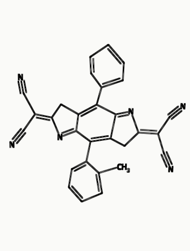 Cc1ccccc1-c1c2c(c(-c3ccccc3)c3c1=NC(=C(C#N)C#N)C3)=NC(=C(C#N)C#N)C2